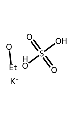 CC[O-].O=S(=O)(O)O.[K+]